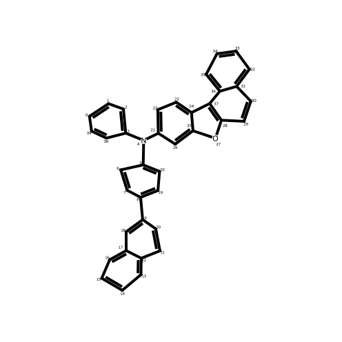 c1ccc(N(c2ccc(-c3ccc4ccccc4c3)cc2)c2ccc3c(c2)oc2ccc4ccccc4c23)cc1